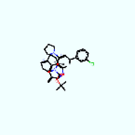 C=C1C=NC(C)=C(/C(=C\C(C)c2cccc(Cl)c2)N2CCCC2)C(/C2=C\CCN(C(=O)OC(C)(C)C)[C@H](C)CC2)=C1